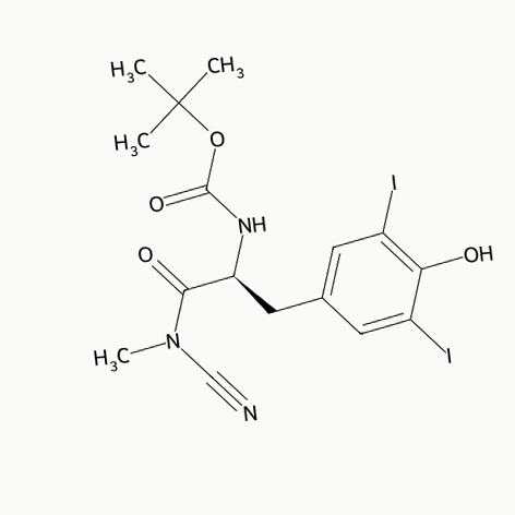 CN(C#N)C(=O)[C@H](Cc1cc(I)c(O)c(I)c1)NC(=O)OC(C)(C)C